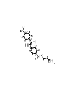 BCCCN(C)c1ccc(NNc2ccc(CC)cc2)cc1